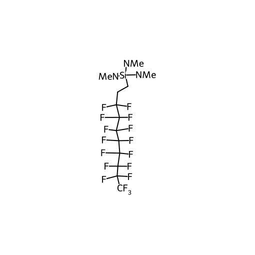 CN[Si](CCC(F)(F)C(F)(F)C(F)(F)C(F)(F)C(F)(F)C(F)(F)C(F)(F)C(F)(F)F)(NC)NC